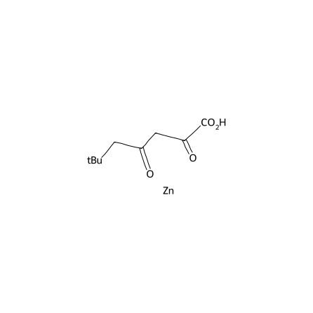 CC(C)(C)CC(=O)CC(=O)C(=O)O.[Zn]